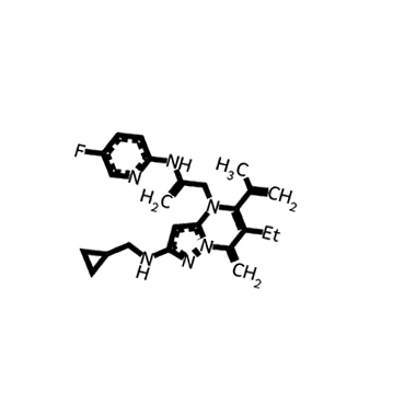 C=C(CN1C(C(=C)C)=C(CC)C(=C)n2nc(NCC3CC3)cc21)Nc1ccc(F)cn1